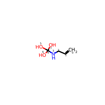 C=CCNC(O)(O)O